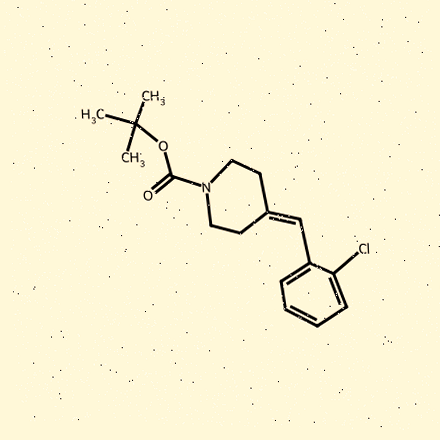 CC(C)(C)OC(=O)N1CCC(=Cc2ccccc2Cl)CC1